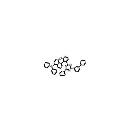 c1ccc(-c2cccc(-c3nc(-c4ccccc4)nc(-c4cccc5c4-c4cccc6c(N(c7ccccc7)c7ccccc7)ccc(c46)O5)n3)c2)cc1